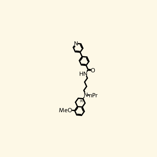 CCCN(CCCCNC(=O)c1ccc(-c2ccncc2)cc1)[C@@H]1CCc2c(cccc2OC)C1